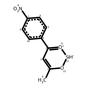 CC1=CC(c2ccc([N+](=O)[O-])cc2)=[O+][SiH-]O1